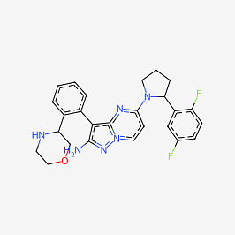 Nc1nn2ccc(N3CCCC3c3cc(F)ccc3F)nc2c1-c1ccccc1C1COCCN1